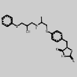 CC(COc1ccc(CC2SC(=O)NC2=O)cc1)NCC(O)CSc1ccccc1